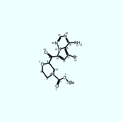 CC(C)(C)OC(=O)N1CCOC(C(=O)c2cc(Br)c3c(N)ncnn23)C1